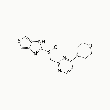 [O-][S+](Cc1nccc(N2CCOCC2)n1)c1nc2cscc2[nH]1